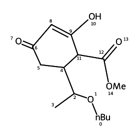 CCCCOC(C)C1CC(=O)C=C(O)C1C(=O)OC